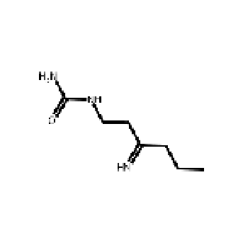 CCCC(=N)CCNC(N)=O